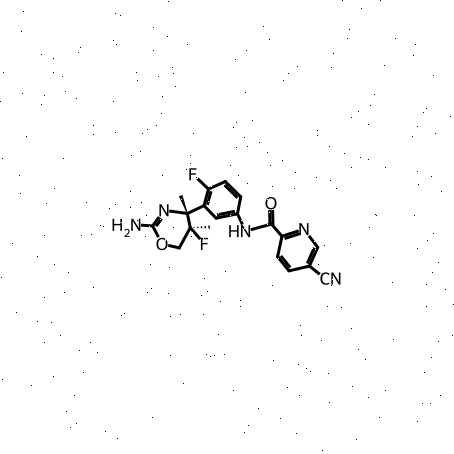 C[C@]1(F)COC(N)=N[C@]1(C)c1cc(NC(=O)c2ccc(C#N)cn2)ccc1F